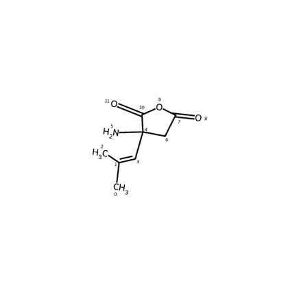 CC(C)=CC1(N)CC(=O)OC1=O